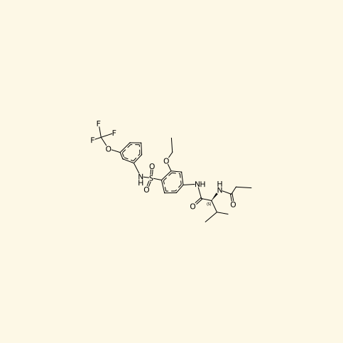 CCOc1cc(NC(=O)[C@@H](NC(=O)CC)C(C)C)ccc1S(=O)(=O)Nc1cccc(OC(F)(F)F)c1